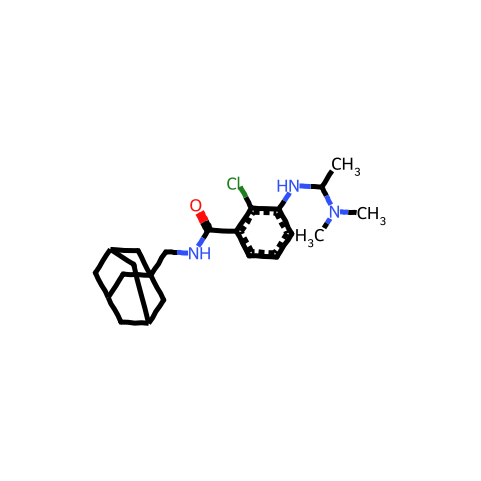 CC(Nc1cccc(C(=O)NCC23CC4CC(CC(C4)C2)C3)c1Cl)N(C)C